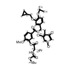 COc1ccc(C(=O)O[C@@H](Cc2c(Cl)c[n+]([O-])cc2Cl)c2ccc(OC(F)F)c(OCC3CC3)c2)cc1OC(=O)[C@@H](NC(=O)OC(C)(C)C)C(C)C